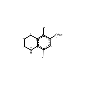 COc1cc(C)c2c(c1C)CCCN2